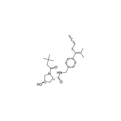 C=C=CSC(=C(C)C)c1ccc(CNC(=O)[C@@H]2C[C@@H](O)CN2C(=O)CC(C)(C)C)cc1